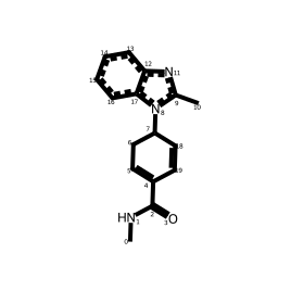 CNC(=O)C1=CCC(n2c(C)nc3ccccc32)C=C1